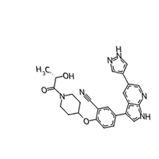 C[C@H](O)C(=O)N1CCC(Oc2ccc(-c3c[nH]c4ncc(-c5cn[nH]c5)cc34)cc2C#N)CC1